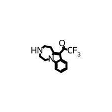 O=C(c1c2n(c3ccccc13)CCNCC2)C(F)(F)F